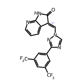 O=C1Nc2ncccc2/C1=C\n1cnc(-c2cc(C(F)(F)F)cc(C(F)(F)F)c2)n1